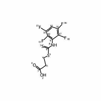 O=C(O)CCSC(=S)Nc1c(F)c(F)cc(F)c1F